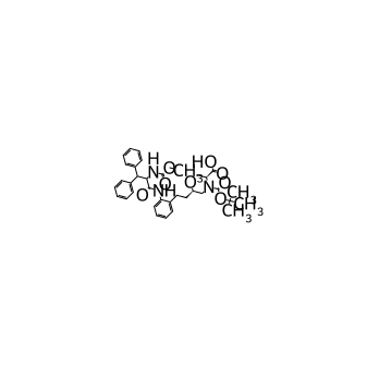 COC(=O)NC(C(=O)Nc1ccccc1CC[C@@H]1CN(C(=O)OC(C)(C)C)[C@H](C(=O)O)CO1)C(c1ccccc1)c1ccccc1